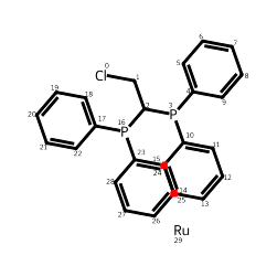 ClCC(P(c1ccccc1)c1ccccc1)P(c1ccccc1)c1ccccc1.[Ru]